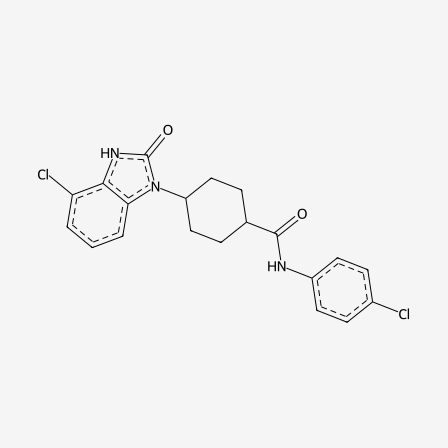 O=C(Nc1ccc(Cl)cc1)C1CCC(n2c(=O)[nH]c3c(Cl)cccc32)CC1